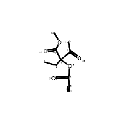 C=CC(=O)OC(CC)(C(C)=O)C(=O)OC